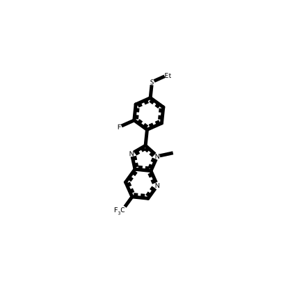 CCSc1ccc(-c2nc3cc(C(F)(F)F)cnc3n2C)c(F)c1